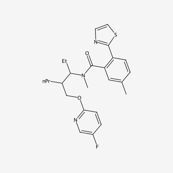 CCCC(COc1ccc(F)cn1)C(CC)N(C)C(=O)c1cc(C)ccc1-c1nccs1